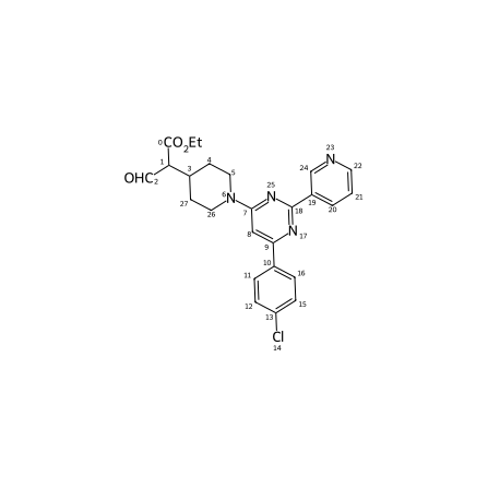 CCOC(=O)C(C=O)C1CCN(c2cc(-c3ccc(Cl)cc3)nc(-c3cccnc3)n2)CC1